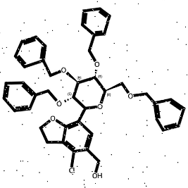 OCc1cc(C2O[C@H](COCc3ccccc3)[C@@H](OCc3ccccc3)[C@H](OCc3ccccc3)[C@H]2OCc2ccccc2)c2c(c1Cl)CCO2